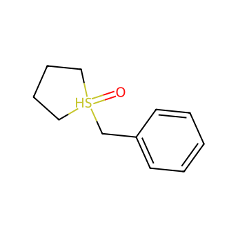 O=[SH]1(Cc2ccccc2)CCCC1